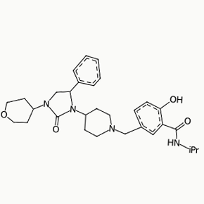 CC(C)NC(=O)c1cc(CN2CCC(N3C(=O)N(C4CCOCC4)CC3c3ccccc3)CC2)ccc1O